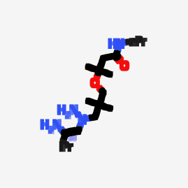 CCCNC(=O)CC(C)(C)OCC(C)(C)CN(N)/C=C(\N)C(C)C